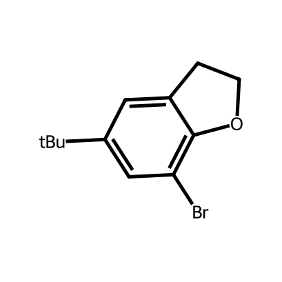 CC(C)(C)c1cc(Br)c2c(c1)CCO2